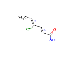 C/C=C(Cl)/C=C/C([NH])=O